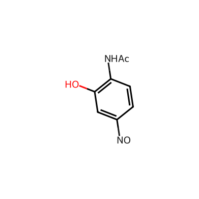 CC(=O)Nc1ccc(N=O)cc1O